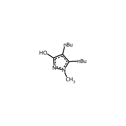 CCCCc1c(O)nn(C)c1CCCC